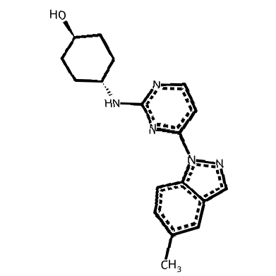 Cc1ccc2c(cnn2-c2ccnc(N[C@H]3CC[C@H](O)CC3)n2)c1